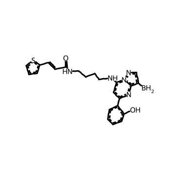 Bc1cnn2c(NCCCCNC(=O)/C=C/c3cccs3)cc(-c3ccccc3O)nc12